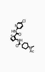 CC(=O)N(C)[C@H]1CC[C@H](C(=O)Nc2ccsc2C(=O)Nc2ccc(Cl)cn2)CC1